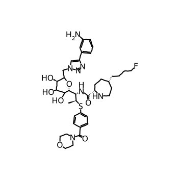 C[C@H](Sc1ccc(C(=O)N2CCOCC2)cc1)[C@@H](NC(=O)[C@@H]1CC[C@H](CCCCF)CCN1)[C@H]1OC(Cn2cc(-c3cccc(N)c3)nn2)[C@H](O)C(O)C1O